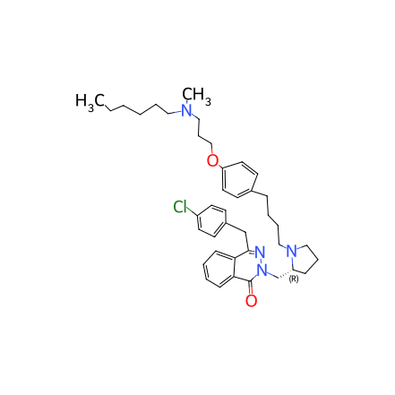 CCCCCCN(C)CCCOc1ccc(CCCCN2CCC[C@@H]2Cn2nc(Cc3ccc(Cl)cc3)c3ccccc3c2=O)cc1